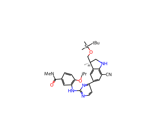 CNC(=O)c1ccc(OC(C)C)c(Nc2nccc(-c3cc(C#N)c4c(c3)[C@@](C)(CO[Si](C)(C)C(C)(C)C)CN4)n2)c1